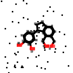 OCc1ccc2c(c1CO)C(c1ccc(O)c(O)c1)CC2